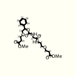 COC(=O)CCOCCNC(=O)CNC(=O)OC(COCCC(=O)OC)c1ccccc1